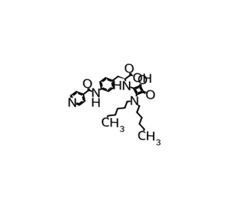 CCCCCCN(CCCCCC)c1c(N[C@@H](Cc2ccc(NC(=O)c3ccncc3)cc2)C(=O)O)c(=O)c1=O